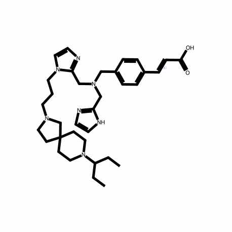 CCC(CC)N1CCC2(CCN(CCCn3ccnc3CN(Cc3ccc(/C=C/C(=O)O)cc3)Cc3ncc[nH]3)C2)CC1